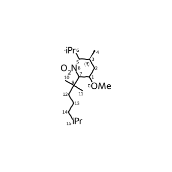 COC(C[C@H](C)C[C](C)C)C([N+](=O)[O-])C(C)(C)CCCC(C)C